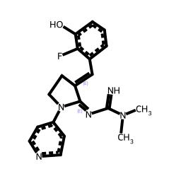 CN(C)C(=N)/N=C1\C(=C\c2cccc(O)c2F)CCN1c1ccncc1